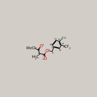 COC(=O)C(C)C(=O)OCc1ccc(F)c(C(F)(F)F)c1